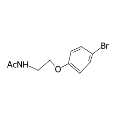 CC(=O)NCCOc1ccc(Br)cc1